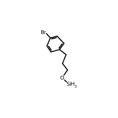 [SiH3]OCCCc1ccc(Br)cc1